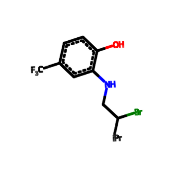 CC(C)C(Br)CNc1cc(C(F)(F)F)ccc1O